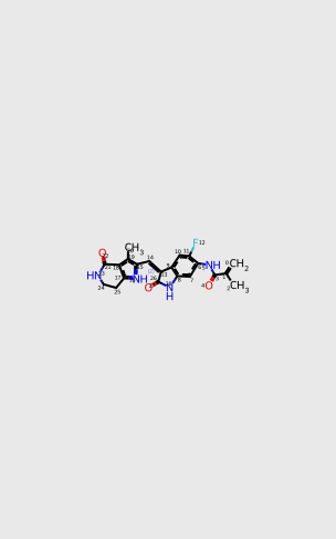 C=C(C)C(=O)Nc1cc2c(cc1F)/C(=C/c1[nH]c3c(c1C)C(=O)NCC3)C(=O)N2